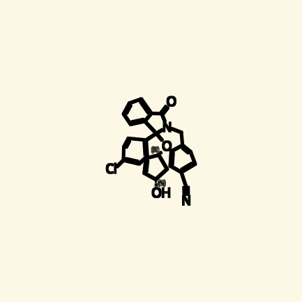 N#Cc1ccc(CN2C(=O)c3ccccc3C2(O[C@H]2C=C[C@@H](O)C2)c2ccc(Cl)cc2)cc1